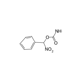 [NH]C(=O)OC(c1ccccc1)[N+](=O)[O-]